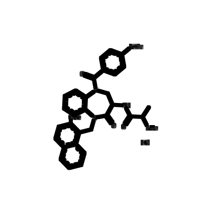 CNC(C)C(=O)NC1CN(C(=O)c2ccc(NC(C)=O)cc2)c2ccccc2N(Cc2c(OC)ccc3ccccc23)C1=O.Cl